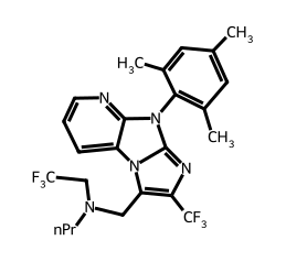 CCCN(Cc1c(C(F)(F)F)nc2n(-c3c(C)cc(C)cc3C)c3ncccc3n12)CC(F)(F)F